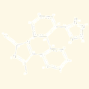 CC1=NC(=O)N=C1c1ncccc1-c1ccccc1-c1nnn[nH]1